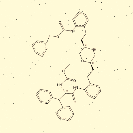 COC(=O)N[C@H](C(=O)Nc1ccccc1CC[C@@H]1CN[C@H](CCc2ccccc2NC(=O)OCc2ccccc2)CO1)C(c1ccccc1)c1ccccc1